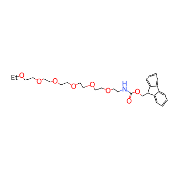 CCOCCOCCOCCOCCOCCOCCNC(=O)OCC1c2ccccc2-c2ccccc21